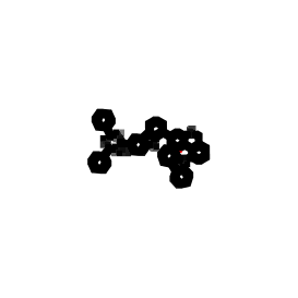 c1ccc(C2=NC(c3ccccc3)NC(c3ccc4sc5c(-c6ccc7c(c6)SCc6cccc(-n8c9ccccc9c9ccccc98)c6-7)cccc5c4c3)=N2)cc1